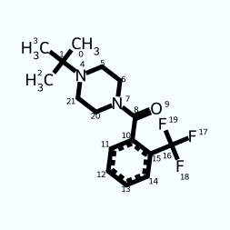 CC(C)(C)N1CCN(C(=O)c2ccccc2C(F)(F)F)CC1